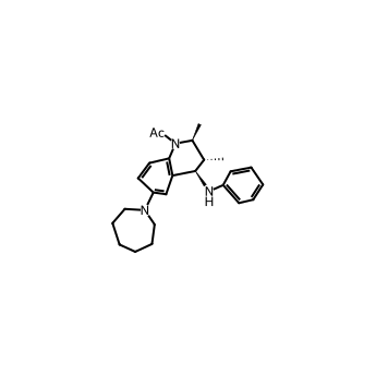 CC(=O)N1c2ccc(N3CCCCCC3)cc2[C@H](Nc2ccccc2)[C@@H](C)[C@@H]1C